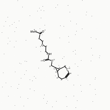 CNC(=O)CCOCCNC(=O)OCC1C2CCC#CCCC21